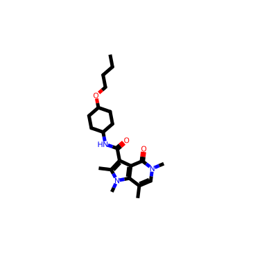 CCCCOC1CCC(NC(=O)c2c(C)n(C)c3c(C)cn(C)c(=O)c23)CC1